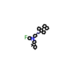 CC1(C)c2ccccc2-c2ccc(N(c3ccc(F)cc3)c3ccc(/C=C/c4c5ccccc5c(-c5cccc6ccccc56)c5ccccc45)cc3)cc21